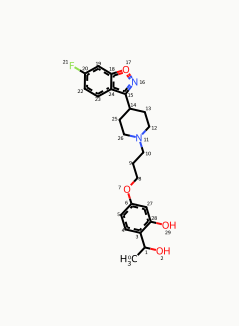 CC(O)c1ccc(OCCCN2CCC(c3noc4cc(F)ccc34)CC2)cc1O